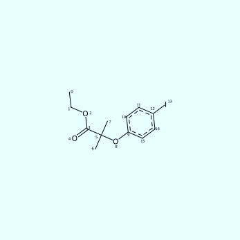 CCOC(=O)C(C)(C)Oc1ccc(I)cc1